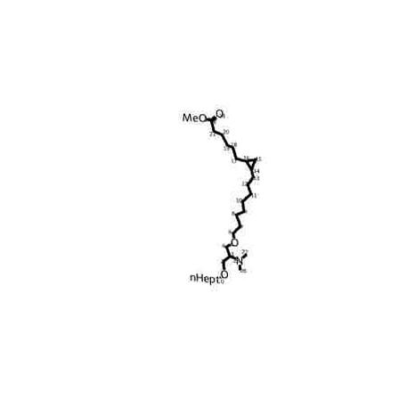 CCCCCCCOCC(COCCCCCCCCC1CC1CCCCCC(=O)OC)N(C)C